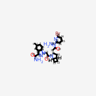 Cc1ccc2c(c1)c(C(N)=O)nn2CC(=O)N1[C@H](CC(=O)N(N)c2cccc(Br)n2)C[C@H]2CC[C@H]21